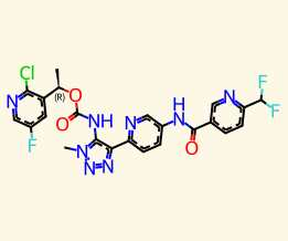 C[C@@H](OC(=O)Nc1c(-c2ccc(NC(=O)c3ccc(C(F)F)nc3)cn2)nnn1C)c1cc(F)cnc1Cl